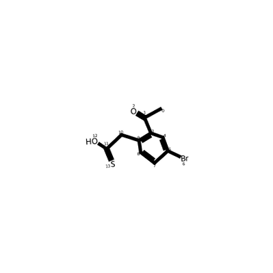 CC(=O)c1cc(Br)ccc1CC(O)=S